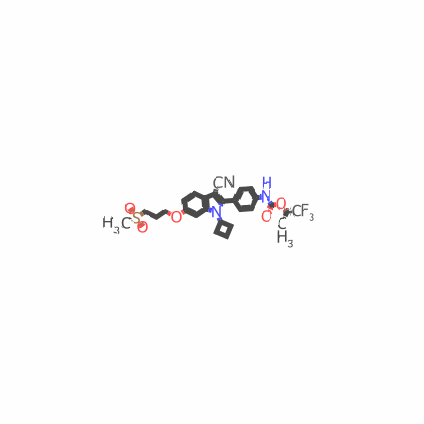 C[C@@H](OC(=O)Nc1ccc(-c2c(C#N)c3ccc(OCCCS(C)(=O)=O)cc3n2C2CCC2)cc1)C(F)(F)F